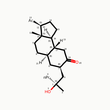 CCC[C@](C)(O)C[C@H]1C[C@H]2CC[C@]3(C)[C@@H](C(C)=O)CC[C@H]3[C@@H]2CC1=O